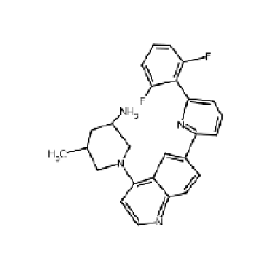 CC1CC(N)CN(c2ccnc3ccc(-c4cccc(-c5c(F)cccc5F)n4)cc23)C1